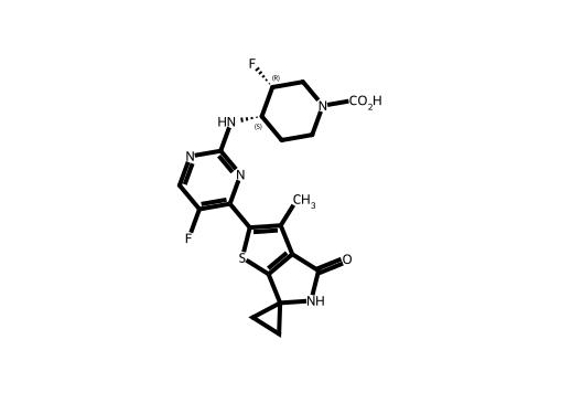 Cc1c(-c2nc(N[C@H]3CCN(C(=O)O)C[C@H]3F)ncc2F)sc2c1C(=O)NC21CC1